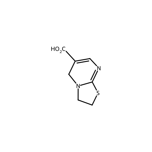 O=C(O)C1=CN=C2SCCN2C1